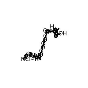 CCc1cnn2c(NCc3ccc(=O)n(CCOCCOCCOCCOCCOCCOCCN(C)c4ncc(C(=O)N[C@H]5C(C)(C)[C@H](Oc6ccc(C#N)c(Cl)c6)C5(C)C)cn4)c3)cc(N3CCCCC3CCO)nc12